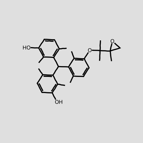 Cc1ccc(O)c(C)c1C(c1c(C)ccc(O)c1C)c1c(C)ccc(OC(C)(C)C2(C)CO2)c1C